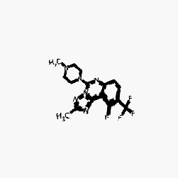 Cc1nc2c3c(F)c(C(F)(F)F)ccc3nc(N3CCN(C)CC3)n2n1